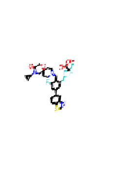 O=C(O)C(F)(F)F.O=C1COC2(CCN(Cc3c(F)cc(-c4ccc5scnc5c4)cc3F)CC2)CN1C1CC1